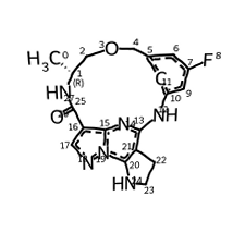 C[C@@H]1COCc2cc(F)cc(c2)Nc2nc3c(cnn3c3c2CCN3)C(=O)N1